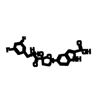 O=C(O)c1cc2cc(N3CCC(O)(C(=O)NCc4cc(F)cc(F)c4)O3)ccc2[nH]1